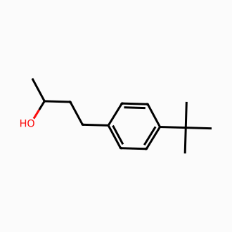 CC(O)CCc1ccc(C(C)(C)C)cc1